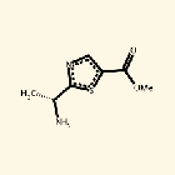 COC(=O)c1cnc([C@@H](C)N)s1